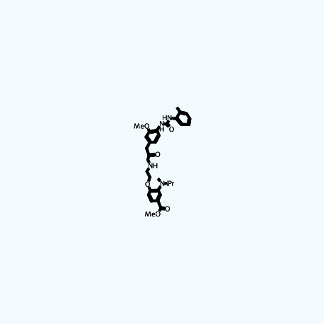 COC(=O)c1ccc(OCCNCC(=O)Cc2ccc(NC(=O)Nc3ccccc3C)c(OC)c2)c(N(C)C(C)C)c1